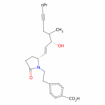 CCCC#CCC(C)[C@H](O)/C=C/[C@H]1CCC(=O)N1CCc1ccc(C(=O)O)cc1